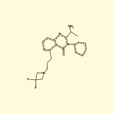 CC(N)c1nc2cccc(CCCN3CC(F)(F)C3)c2c(=O)n1-c1ccccc1